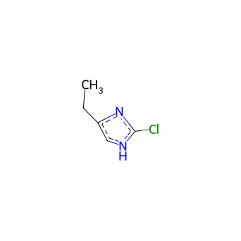 CCc1c[nH]c(Cl)n1